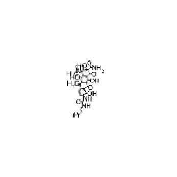 CC(C)CCNC(=O)Nc1ccc2c(c1O)C(=O)C1=C(O)C3C(=O)C(C(N)=O)=C(O)[C@@H](N(C)C)C3[C@@H](O)C1[C@H]2C